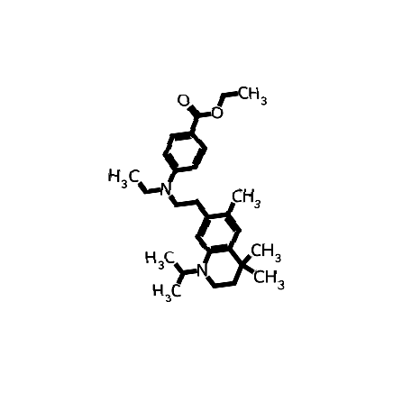 CCOC(=O)c1ccc(N(CC)CCc2cc3c(cc2C)C(C)(C)CCN3C(C)C)cc1